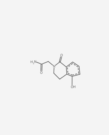 NC(=O)CN1CCc2c(O)cccc2C1=O